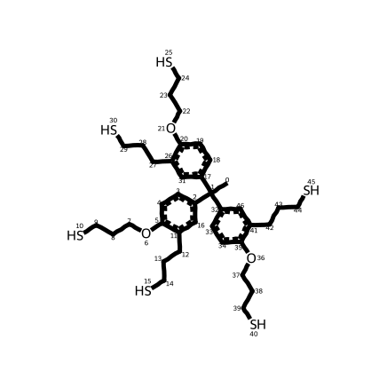 CC(c1ccc(OCCCS)c(CCCS)c1)(c1ccc(OCCCS)c(CCCS)c1)c1ccc(OCCCS)c(CCCS)c1